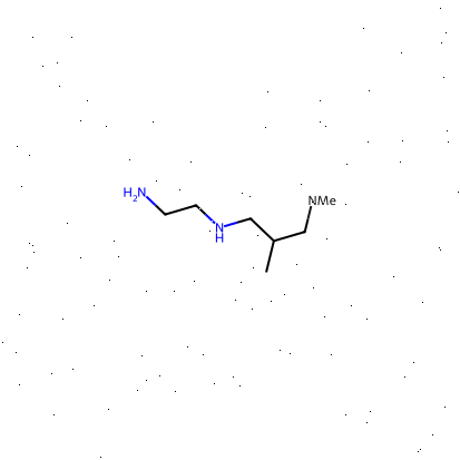 CNCC(C)CNCCN